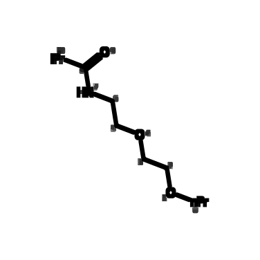 CCCOCCOCCNC(=O)C(C)C